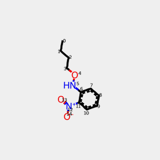 CCCCONc1ccccc1[N+](=O)[O-]